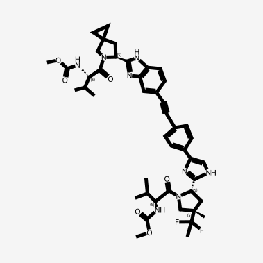 COC(=O)N[C@H](C(=O)N1C[C@@](C)(C(C)(F)F)C[C@H]1c1nc(-c2ccc(C#Cc3ccc4[nH]c([C@@H]5CC6(CC6)CN5C(=O)[C@@H](NC(=O)OC)C(C)C)nc4c3)cc2)c[nH]1)C(C)C